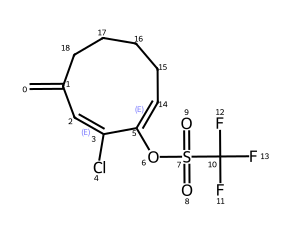 C=C1/C=C(Cl)\C(OS(=O)(=O)C(F)(F)F)=C/CCCC1